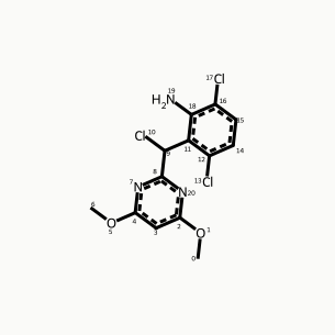 COc1cc(OC)nc(C(Cl)c2c(Cl)ccc(Cl)c2N)n1